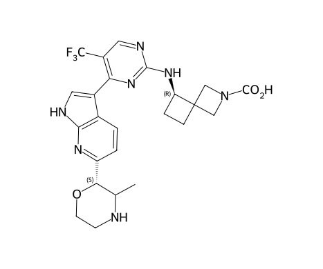 CC1NCCO[C@@H]1c1ccc2c(-c3nc(N[C@@H]4CCC45CN(C(=O)O)C5)ncc3C(F)(F)F)c[nH]c2n1